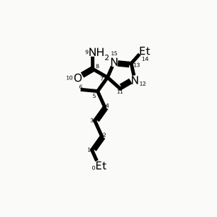 CC/C=C/C=C/C(C)C1(C(N)=O)C=NC(CC)=N1